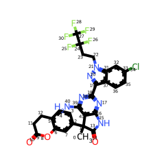 CC1(c2ccc3c(c2)OC(=O)CC3)C(=O)Nc2nc(-c3nn(CCC(F)(F)C(F)(F)F)c4cc(Cl)ccc34)nc(N)c21